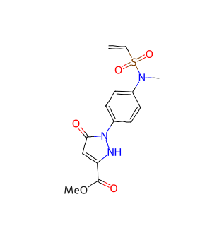 C=CS(=O)(=O)N(C)c1ccc(-n2[nH]c(C(=O)OC)cc2=O)cc1